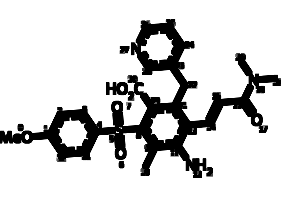 COc1ccc(S(=O)(=O)c2c(C)c(N)c(C=CC(=O)N(C)C)c(Cc3cccnc3)c2C(=O)O)cc1